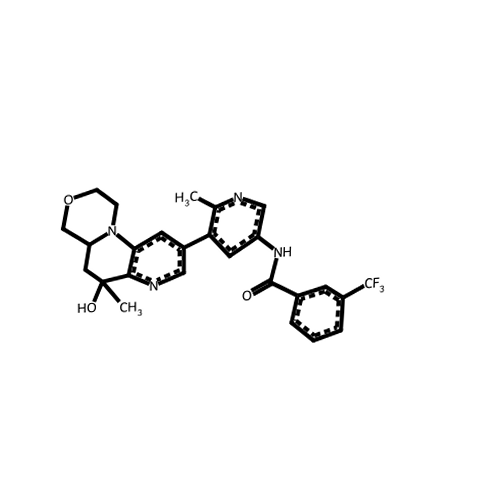 Cc1ncc(NC(=O)c2cccc(C(F)(F)F)c2)cc1-c1cnc2c(c1)N1CCOCC1CC2(C)O